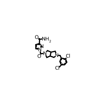 NC(=O)c1ccn(C(=O)N2CC3CN(Cc4cc(Cl)ccc4Cl)CC3C2)n1